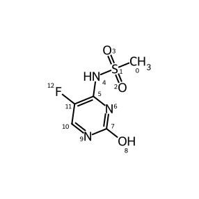 CS(=O)(=O)Nc1nc(O)ncc1F